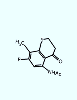 CC(=O)Nc1cc(F)c(C)c2c1C(=O)CCS2